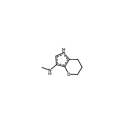 CNc1c[nH]c2c1OCCC2